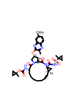 COc1ccc2nc(C)c(O[C@@H]3C[C@H]4C(=O)N[C@]5(C(=O)NS(=O)(=O)C6(C)CC6)C[C@H]5/C=C\CCCCC[C@H](NC(=O)OC5(C)CC5)C(=O)N4C3)nc2c1